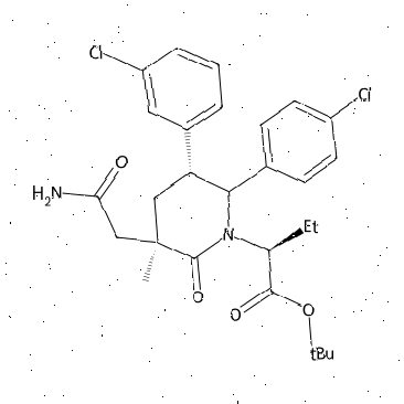 CC[C@@H](C(=O)OC(C)(C)C)N1C(=O)[C@@](C)(CC(N)=O)C[C@H](c2cccc(Cl)c2)C1c1ccc(Cl)cc1